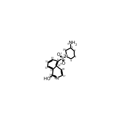 NC1CCCN(S(=O)(=O)c2cccc3c(O)nccc23)C1